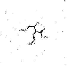 CCOC(=O)CC(C)C(N=CC(C)(C)C)C(=O)OC